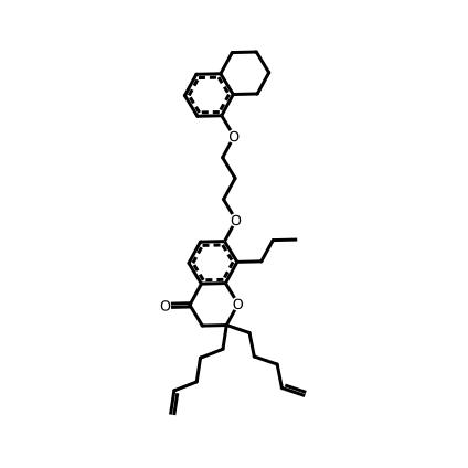 C=CCCCC1(CCCC=C)CC(=O)c2ccc(OCCCOc3cccc4c3CCCC4)c(CCC)c2O1